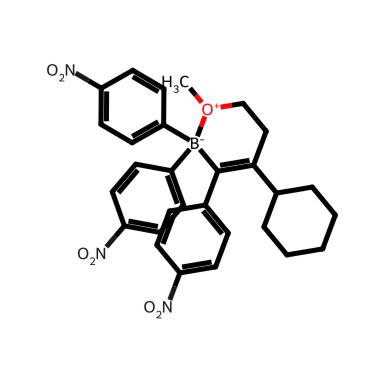 C[O+]1CCC(C2CCCCC2)=C(c2ccc([N+](=O)[O-])cc2)[B-]1(c1ccc([N+](=O)[O-])cc1)c1ccc([N+](=O)[O-])cc1